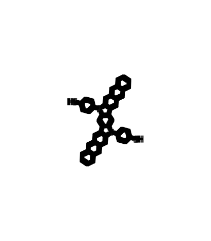 Sc1ccc(B2c3cc4c(cc3-c3cc5cc6ccccc6cc5cc32)B(c2ccc(S)cc2)c2cc3cc5ccccc5cc3cc2-4)cc1